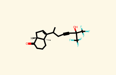 CC(CC#CC(O)(C(F)(F)F)C(F)(F)F)C1=CC[C@H]2C(=O)CCC[C@]12C